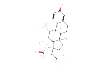 CCCCC(=O)O[C@]1(C(=O)CS)[C@@H](C)C[C@H]2[C@@H]3CCC4=CC(=O)C=C[C@]4(C)C3(F)C(O)C[C@@]21C